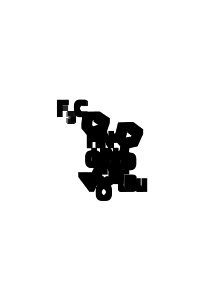 CC(C)(C)OC(=O)C1(C(=O)NNC(=O)c2ccccc2Nc2ccc(C(F)(F)F)cc2)CC1